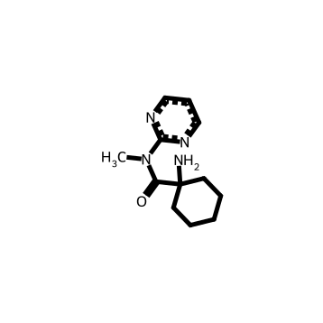 CN(C(=O)C1(N)CCCCC1)c1ncccn1